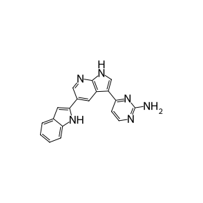 Nc1nccc(-c2c[nH]c3ncc(-c4cc5ccccc5[nH]4)cc23)n1